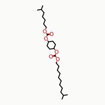 CC(C)CCCCCCCCCOC(=O)OC1CCC(OC(=O)OCCCCCC(C)C)CC1